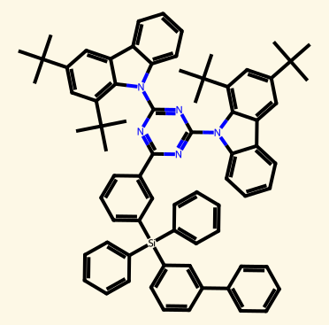 CC(C)(C)c1cc(C(C)(C)C)c2c(c1)c1ccccc1n2-c1nc(-c2cccc([Si](c3ccccc3)(c3ccccc3)c3cccc(-c4ccccc4)c3)c2)nc(-n2c3ccccc3c3cc(C(C)(C)C)cc(C(C)(C)C)c32)n1